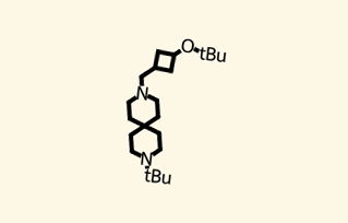 CC(C)(C)OC1CC(CN2CCC3(CC2)CCN(C(C)(C)C)CC3)C1